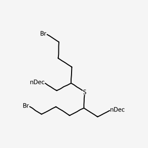 CCCCCCCCCCCC(CCCBr)SC(CCCBr)CCCCCCCCCCC